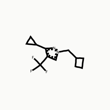 FC(F)(F)c1cn(CC2CCC2)nc1C1CC1